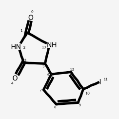 O=C1NC(=O)C(c2cccc(I)c2)N1